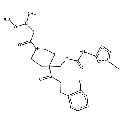 Cc1csc(NC(=O)OCC2(C(=O)NCc3ccccc3Cl)CCN(C(=O)CN(C=O)OC(C)(C)C)CC2)c1